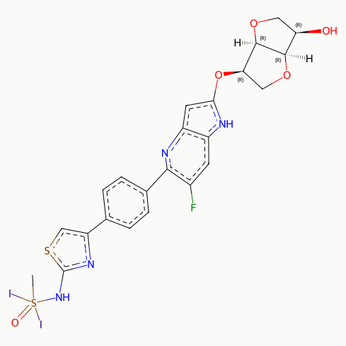 CS(=O)(I)(I)Nc1nc(-c2ccc(-c3nc4cc(O[C@@H]5CO[C@H]6[C@@H]5OC[C@H]6O)[nH]c4cc3F)cc2)cs1